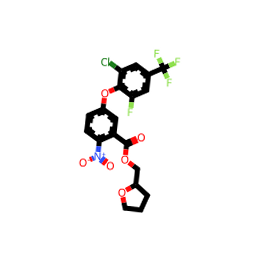 O=C(OCC1CCCO1)c1cc(Oc2c(F)cc(C(F)(F)F)cc2Cl)ccc1[N+](=O)[O-]